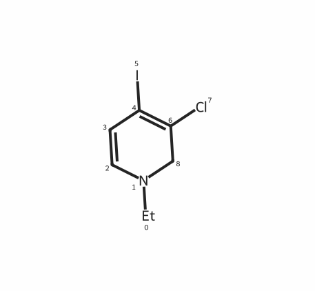 CCN1C=CC(I)=C(Cl)C1